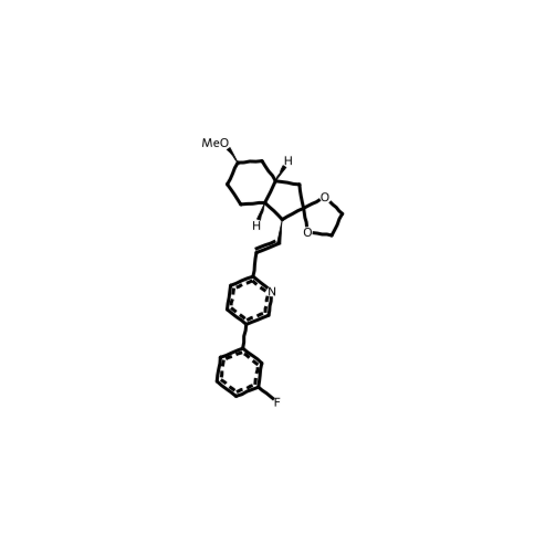 CO[C@@H]1CC[C@@H]2[C@H](C1)CC1(OCCO1)[C@H]2/C=C/c1ccc(-c2cccc(F)c2)cn1